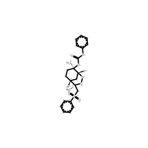 C[C@@]1(OC(=O)Oc2ccccc2)CC[C@@H]2C[C@H]1OO[C@@]2(C)CS(=O)(=O)c1ccccc1